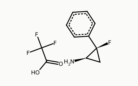 N[C@@H]1C[C@@]1(F)c1ccccc1.O=C(O)C(F)(F)F